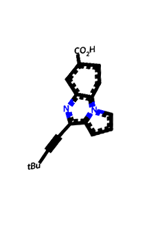 CC(C)(C)C#Cc1nc2cc(C(=O)O)ccc2n2cccc12